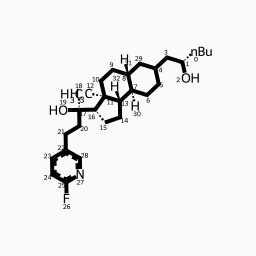 CCCC[C@H](O)CC1CC[C@@H]2[C@H](CC[C@@]3(C)[C@H]2CC[C@@H]3[C@](C)(O)CCc2ccc(F)nc2)C1